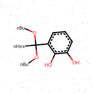 CCCCCCC(OCCCC)(OCCCC)c1cccc(O)c1O